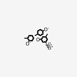 Cc1ccc([O-])cc1.Cc1cccc([O-])c1.Cc1ccccc1[O-].[Li+].[Li+].[Li+]